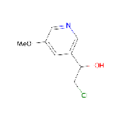 COc1cncc(C(O)CCl)c1